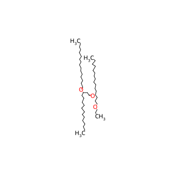 CCCCCCCCCCCCCCCCOC(CC=O)CCCCCCCCCCCCC.CCCCCCCCCCCCCCCCOCCC